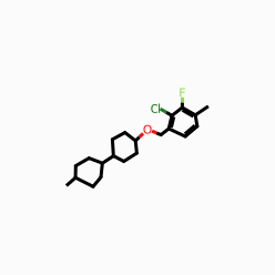 Cc1ccc(COC2CCC(C3CCC(C)CC3)CC2)c(Cl)c1F